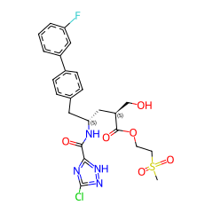 CS(=O)(=O)CCOC(=O)[C@H](CO)C[C@@H](Cc1ccc(-c2cccc(F)c2)cc1)NC(=O)c1nc(Cl)n[nH]1